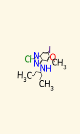 CCCC(CCC)Nc1nc(Cl)nc2cc(I)c(OC)cc12